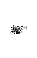 C=C(C)C(=O)N[C@@H]([C@H](O)[C@]1(O)C(O)C1(C)C)[C@@]1(O)C(=O)C1(C)C